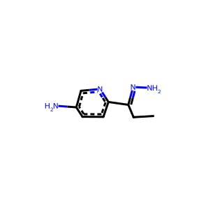 CCC(=NN)c1ccc(N)cn1